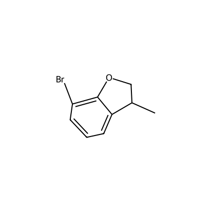 CC1COc2c(Br)cccc21